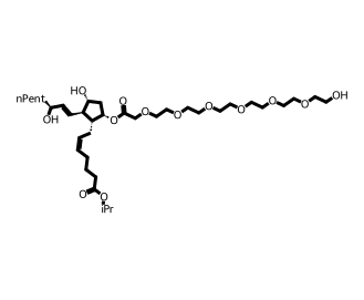 CCCCC[C@H](O)/C=C/[C@@H]1[C@@H](C/C=C\CCCC(=O)OC(C)C)[C@@H](OC(=O)COCCOCCOCCOCCOCCOCCO)C[C@H]1O